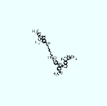 CC(=O)N1CCc2c(c(N3CCCc4cc(-c5cnn(C)c5)c(C(F)F)cc43)nn2C2CCN(CC(=O)NCCCCCCCCNc3ccc(C(=O)Nc4ncc(C)s4)c(C)c3)CC2)C1